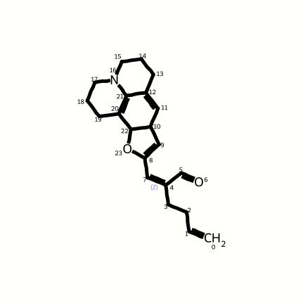 C=CCC/C(C=O)=C/C1=CC2C=C3CCCN4CCCC(=C34)C2O1